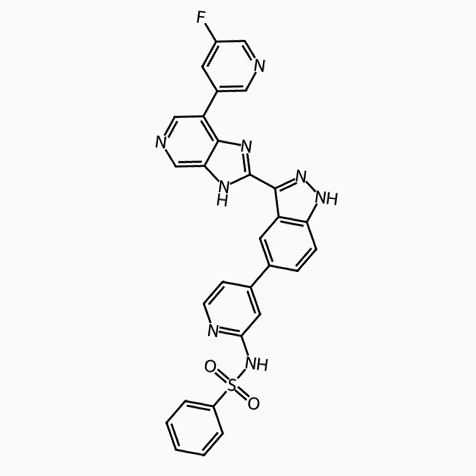 O=S(=O)(Nc1cc(-c2ccc3[nH]nc(-c4nc5c(-c6cncc(F)c6)cncc5[nH]4)c3c2)ccn1)c1ccccc1